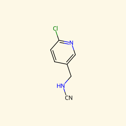 N#CNCc1ccc(Cl)nc1